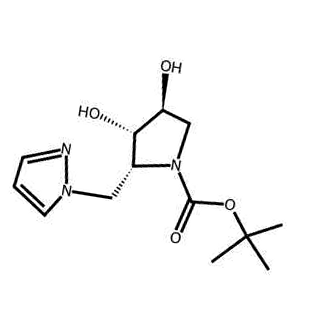 CC(C)(C)OC(=O)N1C[C@H](O)[C@@H](O)[C@H]1Cn1cccn1